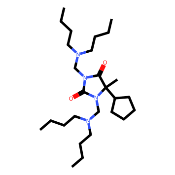 CCCCN(CCCC)CN1C(=O)N(CN(CCCC)CCCC)C(C)(C2CCCC2)C1=O